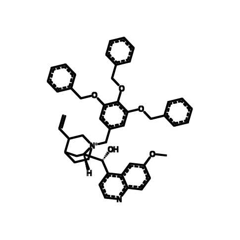 C=CC1C[N+]2(Cc3cc(OCc4ccccc4)c(OCc4ccccc4)c(OCc4ccccc4)c3)CCC1C[C@H]2[C@H](O)c1ccnc2ccc(OC)cc12